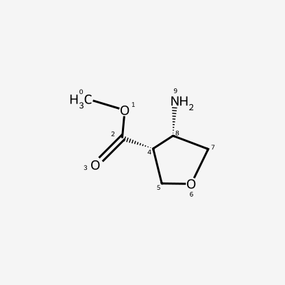 COC(=O)[C@H]1COC[C@H]1N